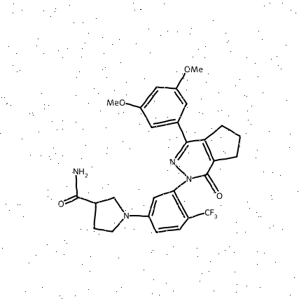 COc1cc(OC)cc(-c2nn(-c3cc(N4CCC(C(N)=O)C4)ccc3C(F)(F)F)c(=O)c3c2CCC3)c1